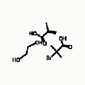 C=C(C)C(=O)O.CC(C)(Br)C(=O)O.OCCO